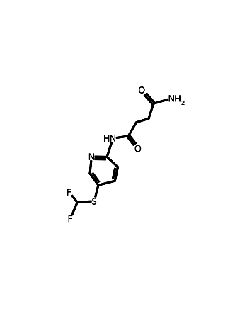 NC(=O)CCC(=O)Nc1ccc(SC(F)F)cn1